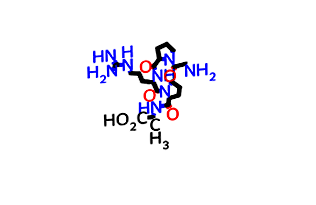 CC(NC(=O)C1CCCN1C(=O)C(CCCNC(=N)N)NC(=O)C1CCCN1C(=O)CN)C(=O)O